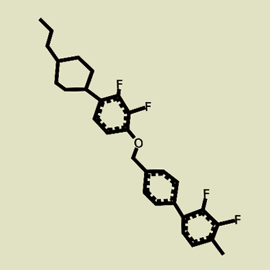 CCCC1CCC(c2ccc(OCc3ccc(-c4ccc(C)c(F)c4F)cc3)c(F)c2F)CC1